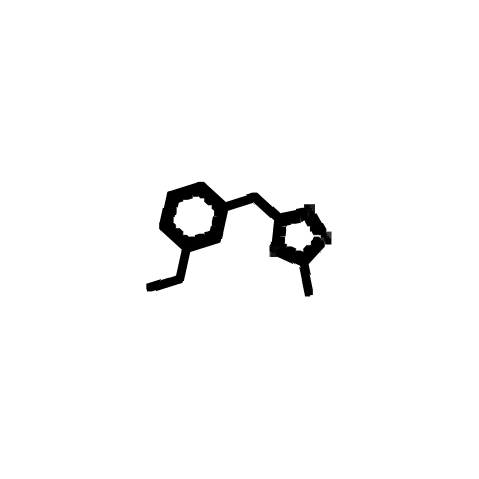 CCc1cccc(Cc2nnc(C)s2)c1